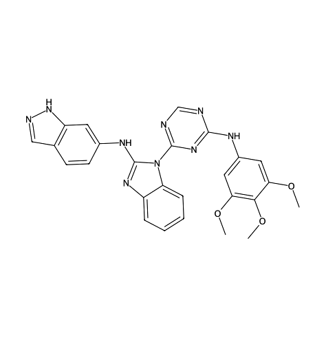 COc1cc(Nc2ncnc(-n3c(Nc4ccc5cn[nH]c5c4)nc4ccccc43)n2)cc(OC)c1OC